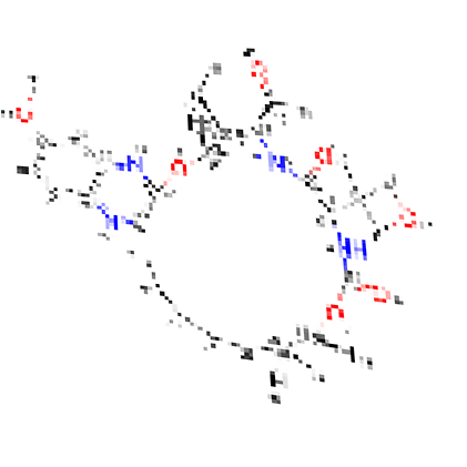 CC[C@@H]1[C@@H]2CN(C(=O)[C@H](C3(C)COC3)NC(=O)O[C@@H]3C[C@H]3CCCCCc3nc4ccc(OC)cc4nc3O2)[C@@H]1C(C)=O